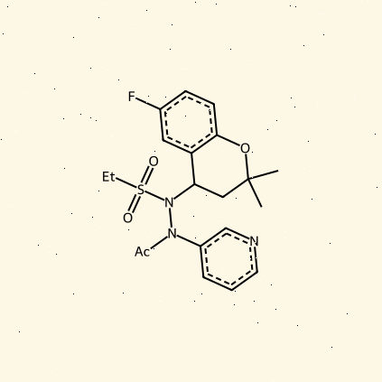 CCS(=O)(=O)N(C1CC(C)(C)Oc2ccc(F)cc21)N(C(C)=O)c1cccnc1